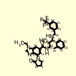 CCn1cnc2c(N3CCCC3=O)cc(C(=O)N[C@@H](Cc3ccccc3)[C@@H](O)CNCc3cccc(C(F)(F)F)c3)cc21